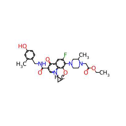 CCOC(=O)CN1CCN(c2c(F)cc3c(=O)c(C(=O)NCc4ccc(O)cc4C)cn(C4CC4)c3c2OC)CC1C